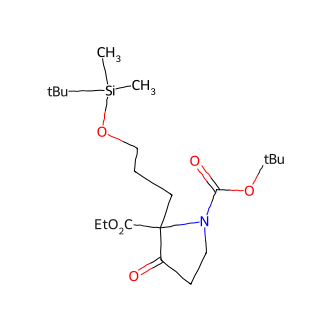 CCOC(=O)C1(CCCO[Si](C)(C)C(C)(C)C)C(=O)CCN1C(=O)OC(C)(C)C